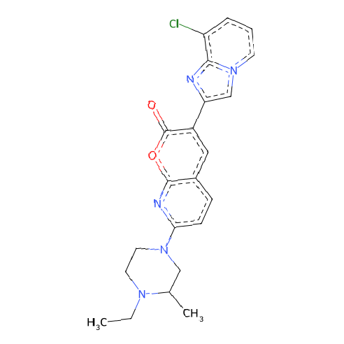 CCN1CCN(c2ccc3cc(-c4cn5cccc(Cl)c5n4)c(=O)oc3n2)CC1C